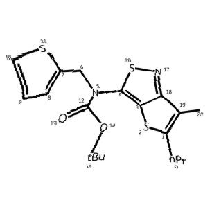 CCCc1sc2c(N(Cc3cccs3)C(=O)OC(C)(C)C)snc2c1C